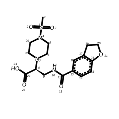 CS(=O)(=O)N1CCN([C@@H](CNC(=O)c2ccc3c(c2)CCO3)C(=O)O)CC1